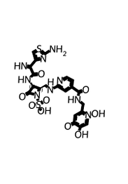 N=C(C(=O)N[C@@H]1C(=O)N(S(=O)(=O)O)[C@@H]1CNc1cc(C(=O)NCc2cc(=O)c(O)cn2O)ccn1)c1csc(N)n1